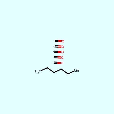 CCCC[CH2][Mn].[C]=O.[C]=O.[C]=O.[C]=O.[C]=O